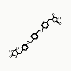 O=C1NC(=O)C(Cc2ccc(OCc3ccc(COc4ccc(CC5SC(=O)NC5=O)cc4)cc3)cc2)S1